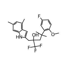 COc1ccc(F)cc1C(C)(C)CC(O)(Cc1cc2c(C)cc(C)cc2[nH]1)C(F)(F)F